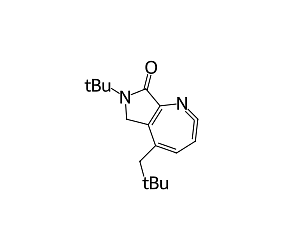 CC(C)(C)CC1=CC=C=NC2=C1CN(C(C)(C)C)C2=O